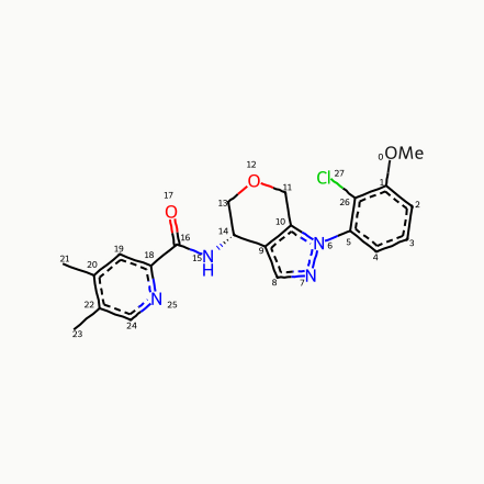 COc1cccc(-n2ncc3c2COC[C@H]3NC(=O)c2cc(C)c(C)cn2)c1Cl